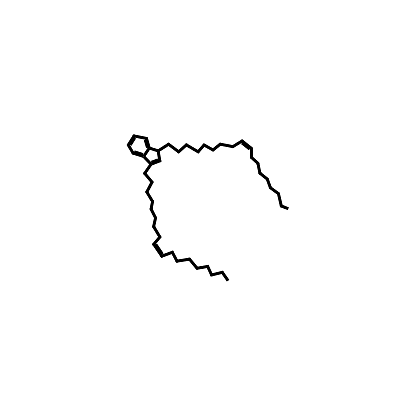 CCCCCCCC/C=C\CCCCCCCCC1=CC(CCCCCCCC/C=C\CCCCCCCC)c2ccccc21